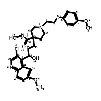 COc1ccc(SCCN2CCC(CC[C@@H](O)c3c(Cl)cnc4ccc(OC)cc34)(C(=O)NO)CC2)cc1